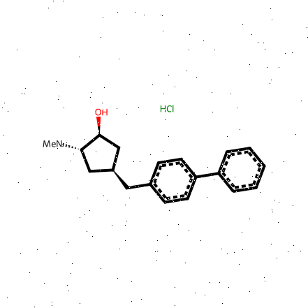 CN[C@H]1C[C@H](Cc2ccc(-c3ccccc3)cc2)C[C@@H]1O.Cl